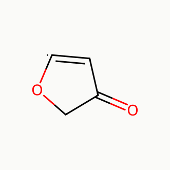 O=C1C=[C]OC1